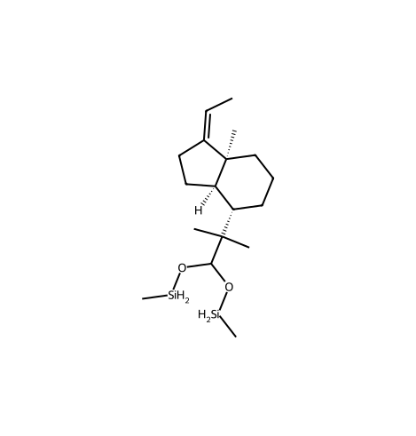 C/C=C1/CC[C@@H]2[C@@H](C(C)(C)C(O[SiH2]C)O[SiH2]C)CCC[C@]12C